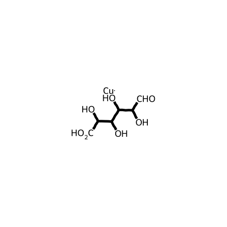 O=CC(O)C(O)C(O)C(O)C(=O)O.[Cu]